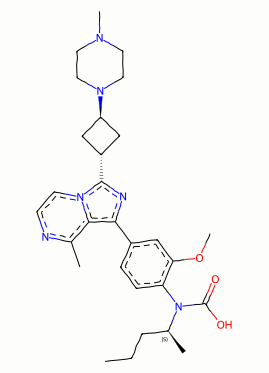 CCC[C@H](C)N(C(=O)O)c1ccc(-c2nc([C@H]3C[C@H](N4CCN(C)CC4)C3)n3ccnc(C)c23)cc1OC